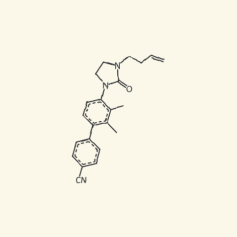 C=CCCN1CCN(c2ccc(-c3ccc(C#N)cc3)c(C)c2C)C1=O